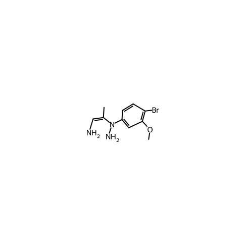 COc1cc(N(N)/C(C)=C\N)ccc1Br